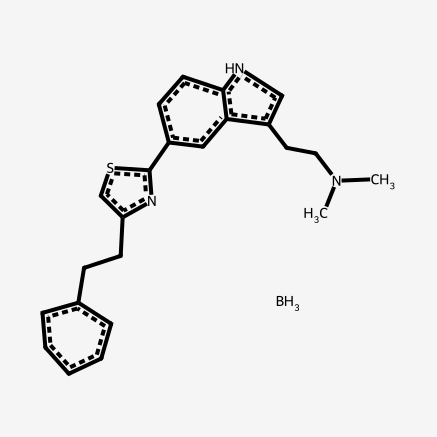 B.CN(C)CCc1c[nH]c2ccc(-c3nc(CCc4ccccc4)cs3)cc12